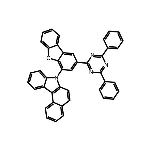 c1ccc(-c2nc(-c3ccccc3)nc(-c3cc(-n4c5ccccc5c5c6ccccc6ccc54)c4oc5ccccc5c4c3)n2)cc1